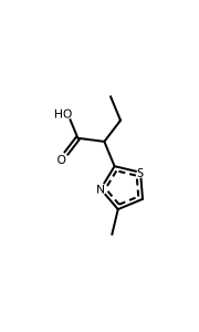 CCC(C(=O)O)c1nc(C)cs1